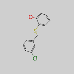 [O]c1ccccc1SCc1cccc(Cl)c1